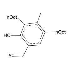 CCCCCCCCc1cc(C=S)c(O)c(CCCCCCCC)c1C